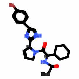 COC(=O)N[C@H](C(=O)N1CC=C[C@H]1c1nc(-c2ccc(Br)cc2)c[nH]1)C1CCCCC1